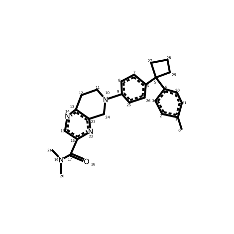 Cc1ccc(C2(c3ccc(N4CCc5ncc(C(=O)N(C)C)nc5C4)cc3)CCC2)cc1